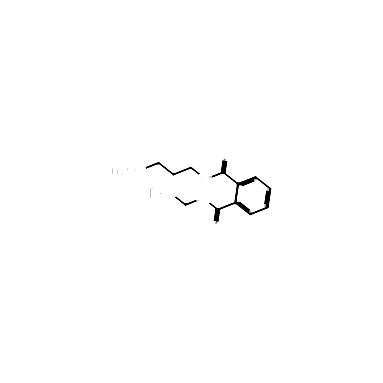 CCCCCCCCCCCCCOC(=O)c1ccccc1C(=O)OCCCCCCCCCCC